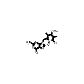 COc1c(C)c(Cl)[n+]([O-])c(Cn2cnc3c(Cl)nc(N)nc32)c1C